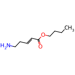 CCCCOC(=O)C=CCCN